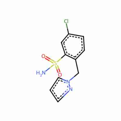 NS(=O)(=O)c1cc(Cl)ccc1Cn1cccn1